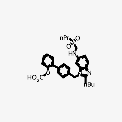 CCCCc1nc2ccc(NCS(=O)(=O)CCC)cc2n1Cc1ccc(-c2ccccc2OC(=O)O)cc1